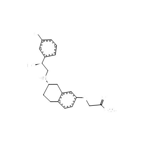 COC(=O)COc1ccc2c(c1)C[C@H](NC[C@@H](O)c1cccc(Cl)c1)CC2